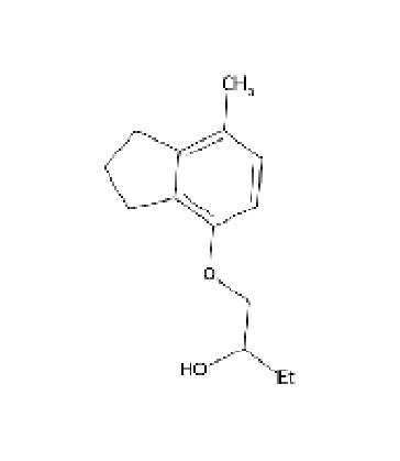 CCC(O)COc1ccc(C)c2c1CCC2